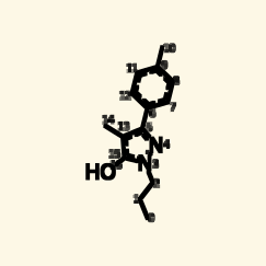 CCCn1nc(-c2ccc(C)cc2)c(C)c1O